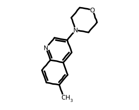 Cc1ccc2ncc(N3CCOCC3)cc2c1